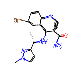 C[C@H](Nc1c(C(N)=O)cnc2ccc(Br)cc12)c1ccn(C)n1